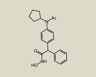 CC(=O)N(c1ccc(C(C(=O)NO)c2ccccc2)cc1)C1CCCC1